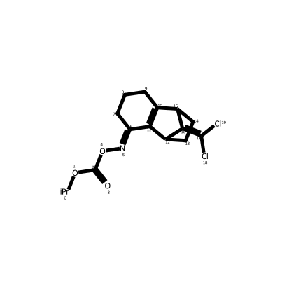 CC(C)OC(=O)O/N=C1\CCCC2=C1C1CCC2C1=C(Cl)Cl